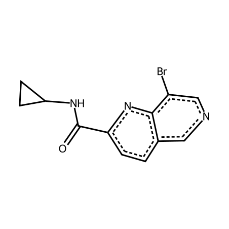 O=C(NC1CC1)c1ccc2cncc(Br)c2n1